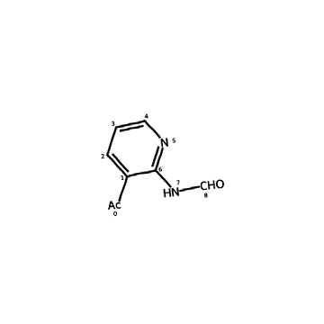 CC(=O)c1cccnc1NC=O